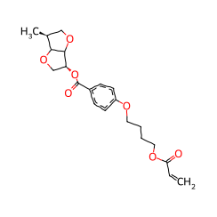 C=CC(=O)OCCCCOc1ccc(C(=O)O[C@H]2COC3C2OC[C@@H]3C)cc1